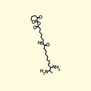 CC(N)C(N)CSCCCCCC(=O)NCCCCCC(=O)ON1OCCCC1=O